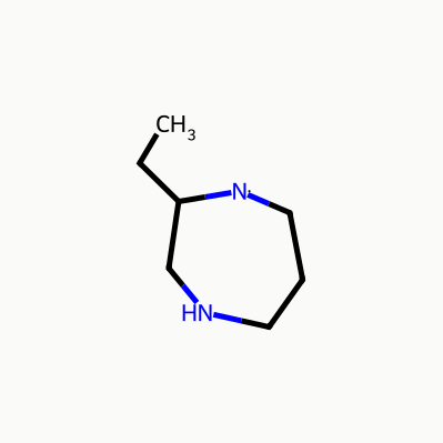 CCC1CNCCC[N]1